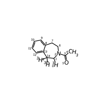 [3H]C1N(C(C)=O)CCc2ccccc2C1([3H])[3H]